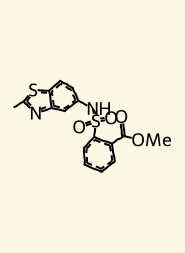 COC(=O)c1ccccc1S(=O)(=O)Nc1ccc2sc(C)nc2c1